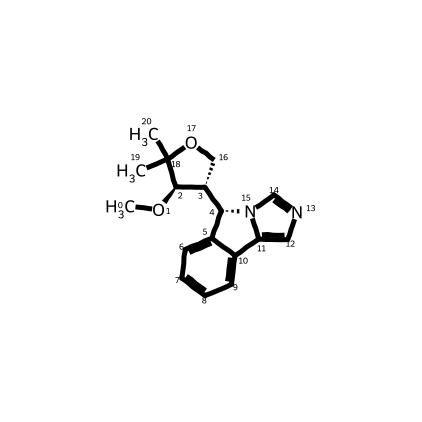 CO[C@@H]1[C@@H]([C@H]2c3ccccc3-c3cncn32)COC1(C)C